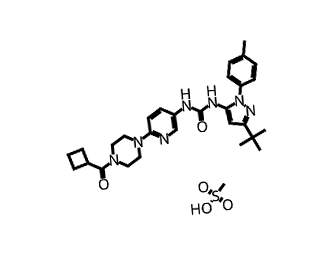 CS(=O)(=O)O.Cc1ccc(-n2nc(C(C)(C)C)cc2NC(=O)Nc2ccc(N3CCN(C(=O)C4CCC4)CC3)nc2)cc1